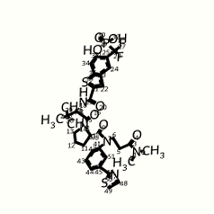 CN(C)C(=O)CCN(C(=O)[C@@H]1CCCN1C(=O)[C@@H](NC(=O)c1cc2cc(C(F)(F)P(=O)(O)O)ccc2s1)C(C)(C)C)c1cccc(-c2nccs2)c1